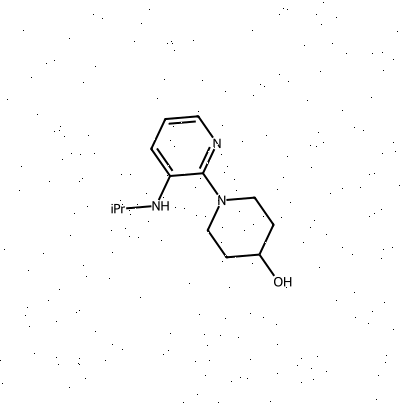 CC(C)Nc1cccnc1N1CCC(O)CC1